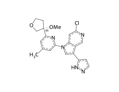 CO[C@@]1(c2cc(C)cc(-n3cc(-c4ccn[nH]4)c4cnc(Cl)cc43)n2)CCOC1